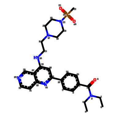 CCN(CC)C(=O)c1ccc(-c2cc(NCCN3CCN(S(C)(=O)=O)CC3)c3cnccc3n2)cc1